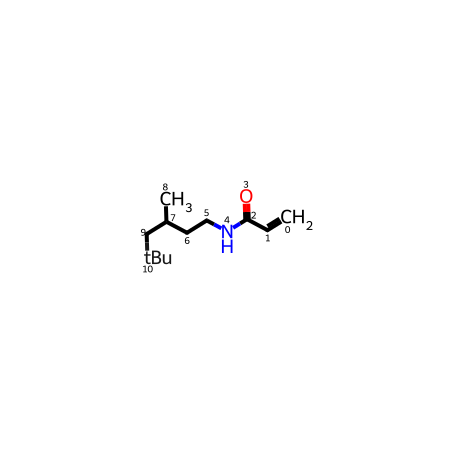 C=CC(=O)NCCC(C)CC(C)(C)C